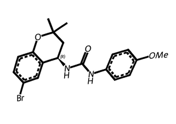 COc1ccc(NC(=O)N[C@@H]2CC(C)(C)Oc3ccc(Br)cc32)cc1